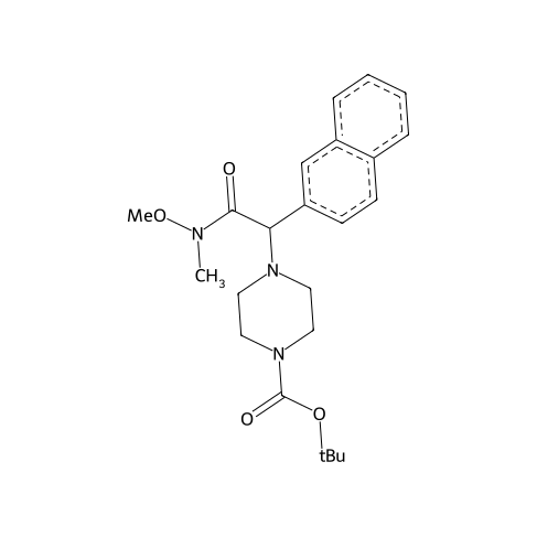 CON(C)C(=O)C(c1ccc2ccccc2c1)N1CCN(C(=O)OC(C)(C)C)CC1